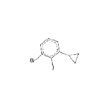 Brc1cccc(C2CC2)c1I